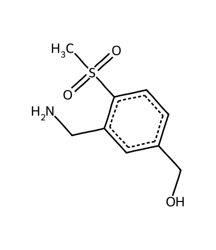 CS(=O)(=O)c1ccc(CO)cc1CN